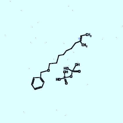 C/C=C(\C)CCCCCCCOCc1ccccc1.O=P(O)(O)OP(=O)(O)O